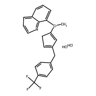 Cl.Cl.[CH3][Cr]([C]1=CC(Cc2ccc(C(F)(F)F)cc2)=CC1)[c]1cccc2cccnc12